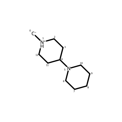 [CH2-][NH+]1CCC(N2CCCCC2)CC1